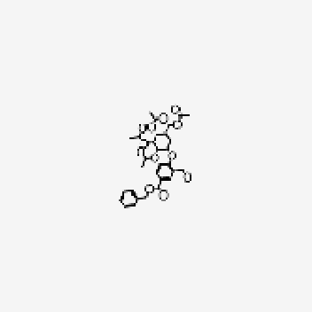 CC(=O)OC[C@H]1CC(Oc2ccc(C(=O)OCc3ccccc3)cc2C=O)[C@H](OC(C)=O)[C@@H](OC(C)=O)[C@H]1OC(C)=O